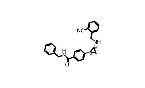 N#Cc1ccccc1CN[C@@H]1C[C@H]1c1ccc(C(=O)NCc2ccccc2)cc1